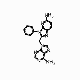 Nc1ccc2nc(Cn3cnc4c(N)ncnc43)n(-c3ccccc3)c2n1